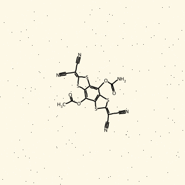 CC(=O)Oc1c2c(c(OC(N)=O)c3c1SC(=C(C#N)C#N)S3)SC(=C(C#N)C#N)S2